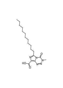 CCCCCCCCCCCCc1nc(C(=O)O)c2nnn(C)c(=O)n12